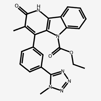 CCOC(=O)n1c2ccccc2c2[nH]c(=O)c(C)c(-c3cccc(-c4nnnn4C)c3)c21